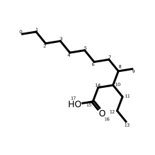 CCCCCCCCC(C)C(CCC)CC(=O)O